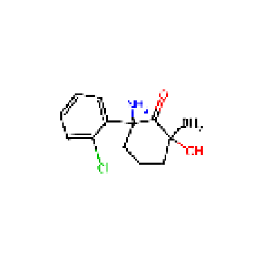 BC1(O)CCCC(N)(c2ccccc2Cl)C1=O